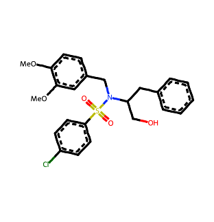 COc1ccc(CN(C(CO)Cc2ccccc2)S(=O)(=O)c2ccc(Cl)cc2)cc1OC